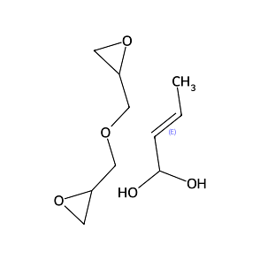 C(OCC1CO1)C1CO1.C/C=C/C(O)O